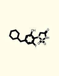 O=C1CN(c2c(O)cc(CC3CCCCC3)cc2F)S(=O)(=O)N1